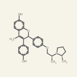 CC1=C(c2ccc(O)cc2)C(c2ccc(OC[C@H](C)N3CCC[C@H]3C)cc2)Oc2cc(O)ccc21